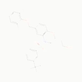 O=S(=O)(c1cccc(C(F)(F)F)c1)N1C[C@@H](CCO)Oc2ccc(COc3c(F)cccc3Cl)cc21